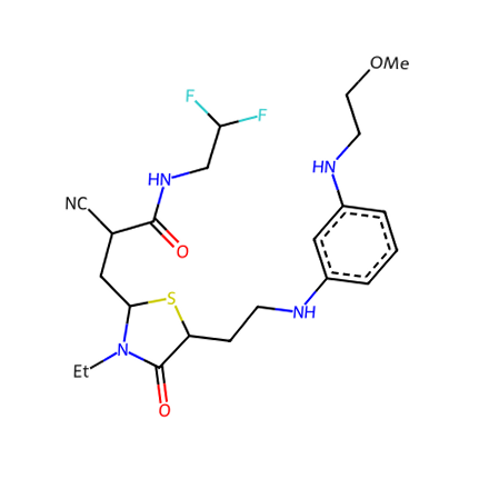 CCN1C(=O)C(CCNc2cccc(NCCOC)c2)SC1CC(C#N)C(=O)NCC(F)F